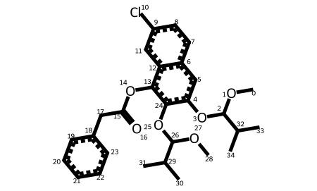 COC(Oc1cc2ccc(Cl)cc2c(OC(=O)Cc2ccccc2)c1OC(OC)C(C)C)C(C)C